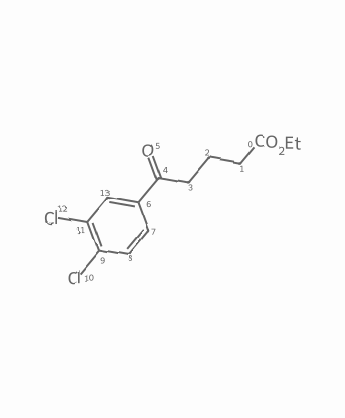 CCOC(=O)CCCC(=O)c1ccc(Cl)c(Cl)c1